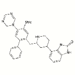 CSc1cc(CC2CC(c3cccc4c3[N]C(=O)N4)CCN2)c(-c2ccccc2)cc1N1C=NC=NC1